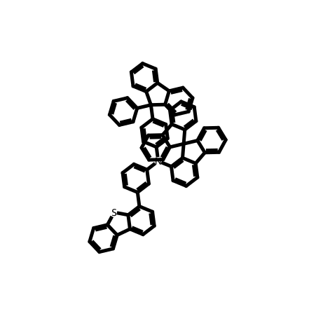 c1ccc(C2(c3ccc(N(c4cccc(-c5cccc6c5sc5ccccc56)c4)c4cccc5c4C4(c6ccccc6-c6ccccc64)c4ccccc4-5)cc3)c3ccccc3-c3ccccc32)cc1